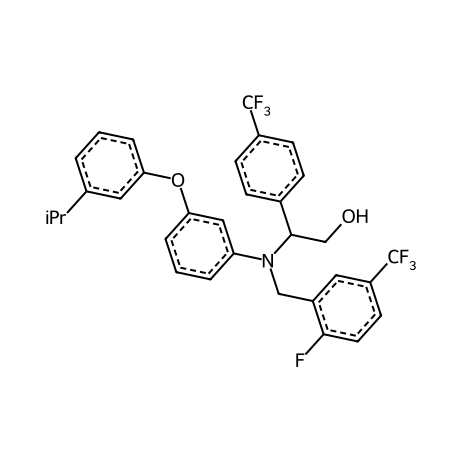 CC(C)c1cccc(Oc2cccc(N(Cc3cc(C(F)(F)F)ccc3F)C(CO)c3ccc(C(F)(F)F)cc3)c2)c1